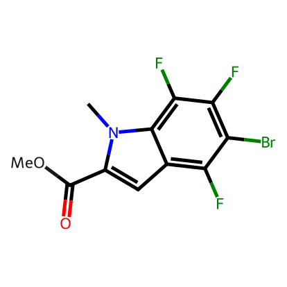 COC(=O)c1cc2c(F)c(Br)c(F)c(F)c2n1C